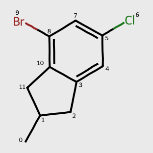 CC1Cc2cc(Cl)cc(Br)c2C1